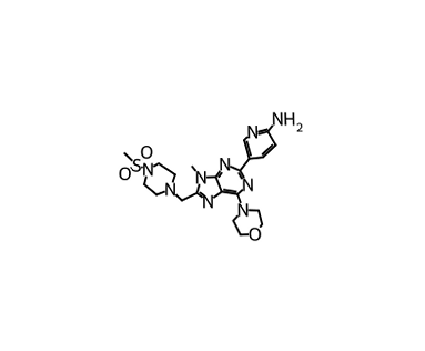 Cn1c(CN2CCN(S(C)(=O)=O)CC2)nc2c(N3CCOCC3)nc(-c3ccc(N)nc3)nc21